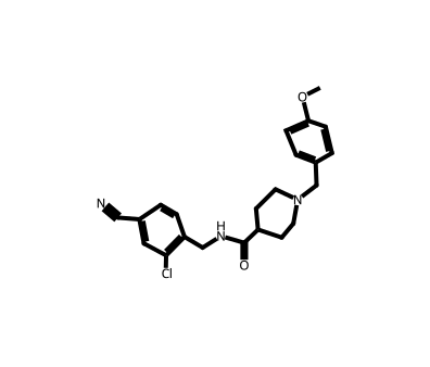 COc1ccc(CN2CCC(C(=O)NCc3ccc(C#N)cc3Cl)CC2)cc1